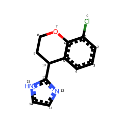 Clc1cccc2c1OCCC2c1ncc[nH]1